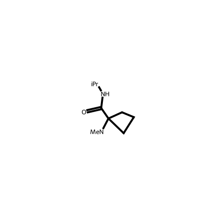 CNC1(C(=O)NC(C)C)CCC1